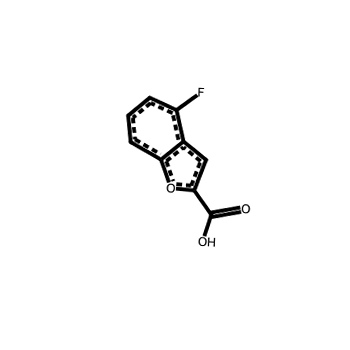 O=C(O)c1cc2c(F)cccc2o1